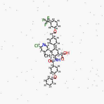 Cc1cc(Cl)ncc1-c1cc(NC(=O)c2ccc(Oc3ccccc3)cc2)c(C(=O)O)cc1-c1ccc(COc2cccc(C(F)(F)F)c2)cc1